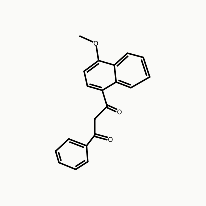 COc1ccc(C(=O)CC(=O)c2ccccc2)c2ccccc12